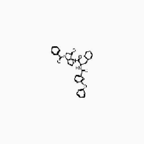 O=C(NC(CC1CCCCC1)C(=O)N1CCC2C1C(=O)CN2C(=O)c1ccccc1)c1cccc(Oc2ccccc2)c1